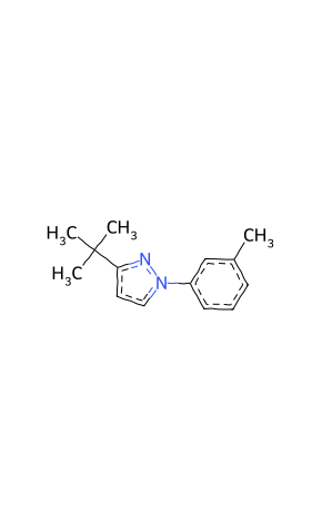 Cc1cccc(-n2ccc(C(C)(C)C)n2)c1